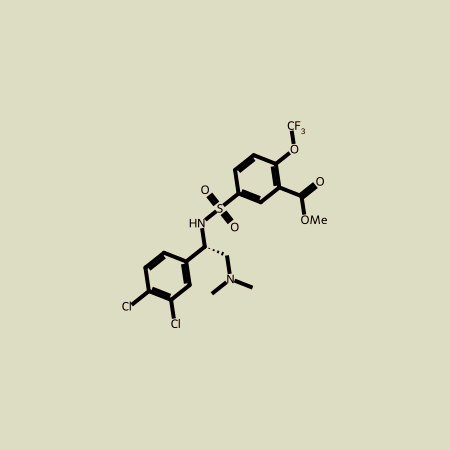 COC(=O)c1cc(S(=O)(=O)N[C@H](CN(C)C)c2ccc(Cl)c(Cl)c2)ccc1OC(F)(F)F